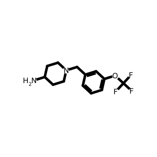 NC1CCN(Cc2cccc(OC(F)(F)F)c2)CC1